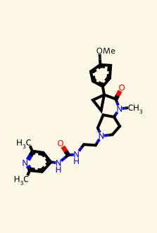 COc1ccc(C2(C(=O)N(C)C3CCN(CCNC(=O)Nc4cc(C)nc(C)c4)CC3)CC2)cc1